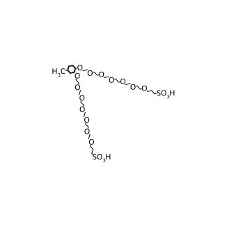 Cc1ccc(OCCOCCOCCOCCOCCOCCOCCCS(=O)(=O)O)c(OCCOCCOCCOCCOCCOCCOCCCS(=O)(=O)O)c1